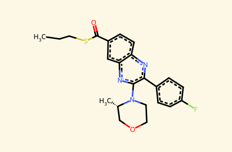 CCCSC(=O)c1ccc2nc(-c3ccc(F)cc3)c(N3CCOC[C@@H]3C)nc2c1